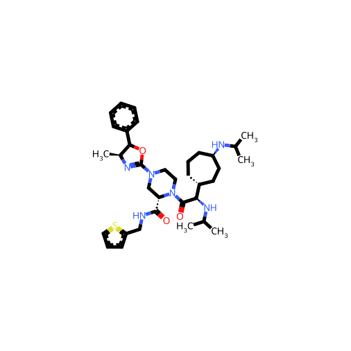 CC(C)N[C@@H]1CCC[C@@H]([C@@H](NC(C)C)C(=O)N2CCN(C3=N[C@@H](C)C(c4ccccc4)O3)C[C@H]2C(=O)NCc2cccs2)CC1